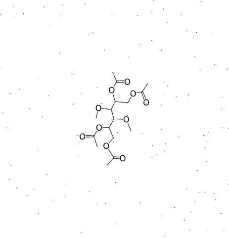 COC(C(COC(C)=O)OC(C)=O)C(OC)C(COC(C)=O)OC(C)=O